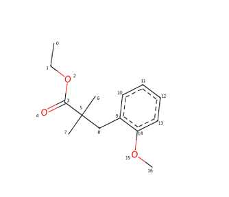 CCOC(=O)C(C)(C)Cc1ccccc1OC